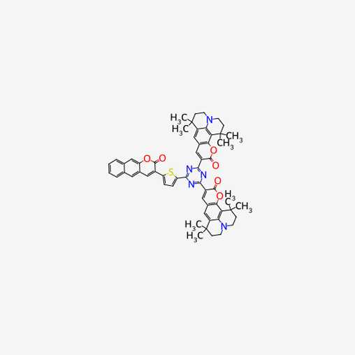 CC1(C)CCN2CCC(C)(C)c3c2c1cc1cc(-c2nc(-c4ccc(-c5cc6cc7ccccc7cc6oc5=O)s4)nc(-c4cc5cc6c7c(c5oc4=O)C(C)(C)CCN7CCC6(C)C)n2)c(=O)oc31